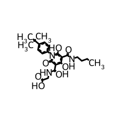 CCCCNC(=O)c1c(O)c(C(=O)NCC(=O)O)c(=O)n(-c2ccc(C(C)(C)C)cc2)c1O